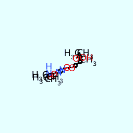 Cc1ccc(-c2ccc(OCCOCCN3CCN(CCOCC(=O)NC(C)C(C)(C)C)CC3)cc2)cc1C1=C(O)CC(C)(C)CC1=O